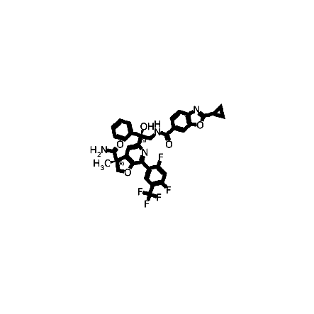 C[C@]1(C(N)=O)COc2c1cc([C@@](O)(CNC(=O)c1ccc3nc(C4CC4)oc3c1)c1ccccc1)nc2-c1cc(C(F)(F)F)c(F)cc1F